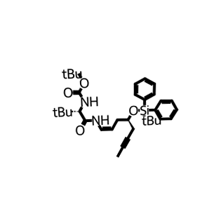 CC#CC[C@@H](C/C=C\NC(=O)[C@@H](NC(=O)OC(C)(C)C)C(C)(C)C)O[Si](c1ccccc1)(c1ccccc1)C(C)(C)C